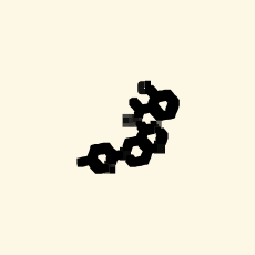 Cc1ccc(N2CCc3ncnc(NC(C)c4ccccc4Cl)c3C2)nc1